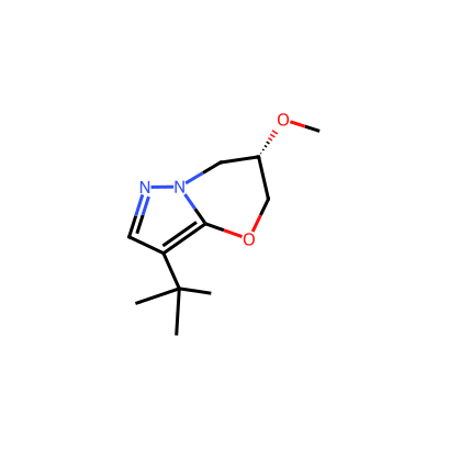 CO[C@@H]1COc2c(C(C)(C)C)cnn2C1